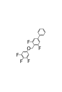 Fc1cc(OCc2c(F)cc(-c3ccccc3)cc2F)cc(F)c1F